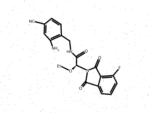 CCO[C@@H](C(=O)NCc1ccc(C#N)cc1N)N1C(=O)c2cccc(F)c2C1=O